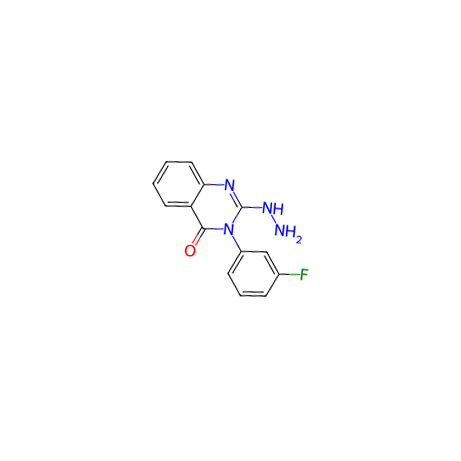 NNc1nc2ccccc2c(=O)n1-c1cccc(F)c1